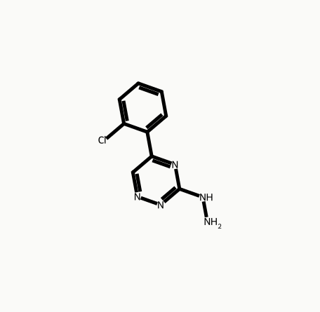 NNc1nncc(-c2ccccc2Cl)n1